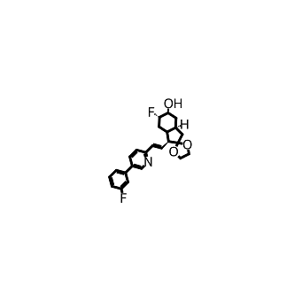 O[C@H]1C[C@H]2CC3(OCCO3)[C@@H](/C=C/c3ccc(-c4cccc(F)c4)cn3)C2C[C@@H]1F